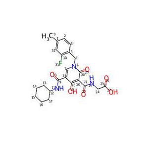 Cc1ccc(Cn2cc(C(=O)NC3CCCCC3)c(O)c(C(=O)NCC(=O)O)c2=O)c(F)c1